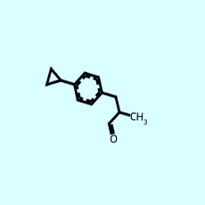 CC(C=O)Cc1ccc(C2CC2)cc1